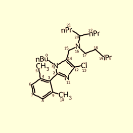 CCCCn1c(-c2c(C)cccc2C)nc(Cl)c1CN(CCC(C)C)C(CCC)CCC